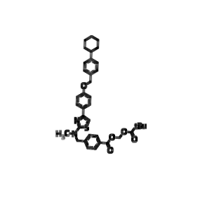 CN(Cc1ccc(C(=O)OCOC(=O)C(C)(C)C)cc1)c1nc(-c2ccc(OCc3ccc(C4CCCCC4)cc3)cc2)cs1